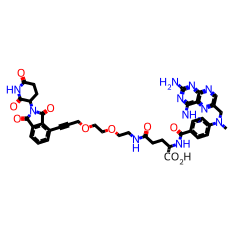 CN(Cc1cnc2nc(N)nc(N)c2n1)c1ccc(C(=O)NC(CCC(=O)NCCOCCOCC#Cc2cccc3c2C(=O)N(C2CCC(=O)NC2=O)C3=O)C(=O)O)cc1